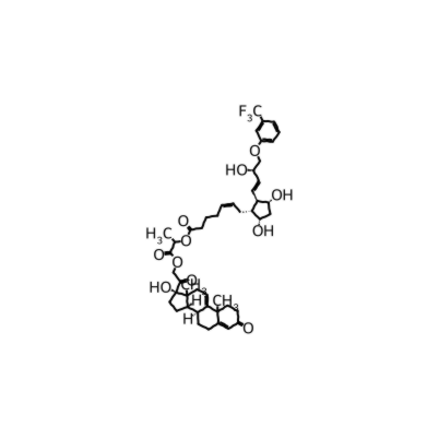 CC(OC(=O)CCC/C=C\C[C@@H]1[C@@H](/C=C/[C@@H](O)COc2cccc(C(F)(F)F)c2)[C@H](O)C[C@@H]1O)C(=O)OCC(=O)[C@@]1(O)CC[C@H]2[C@@H]3CCC4=CC(=O)CCC4(C)C3=CCC21C